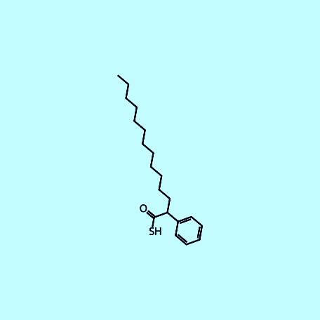 CCCCCCCCCCCCC(C(=O)S)c1ccccc1